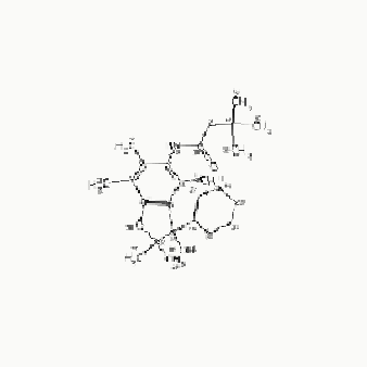 Cc1c(C)c2c(c(C)c1NC(=O)CC(C)(C)C)C(O)(C1CCCCC1)C(C)(C)O2